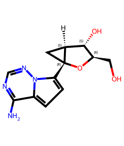 Nc1ncnn2c([C@@]34C[C@H]3[C@H](O)[C@@H](CO)O4)ccc12